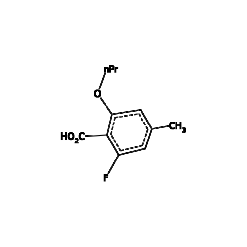 CCCOc1cc(C)cc(F)c1C(=O)O